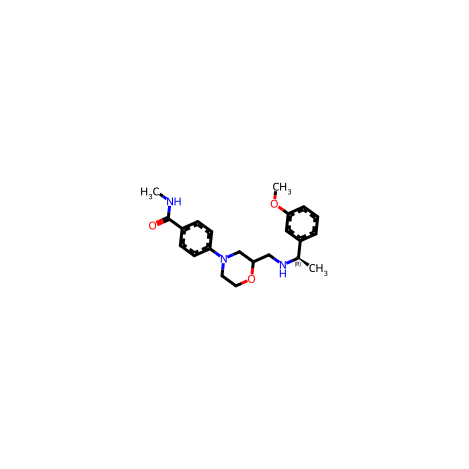 CNC(=O)c1ccc(N2CCOC(CN[C@H](C)c3cccc(OC)c3)C2)cc1